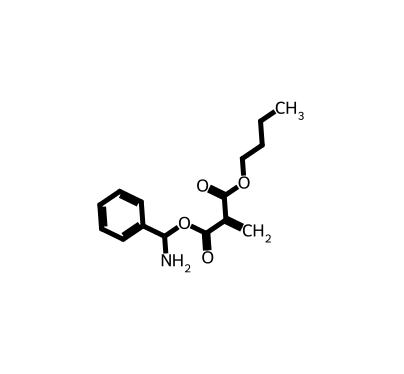 C=C(C(=O)OCCCC)C(=O)OC(N)c1ccccc1